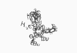 C=C[C@@H]1C[C@]1(NC(=O)[C@@H]1CC(OC(=O)N2Cc3cccc(F)c3C2)CN1C(=O)[C@H](CCC(=O)C#CC(C)(C)C)NC(=O)OC(C)(C)C)C(=O)NS(=O)(=O)C1CC1